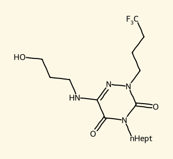 CCCCCCCn1c(=O)c(NCCCO)nn(CCCC(F)(F)F)c1=O